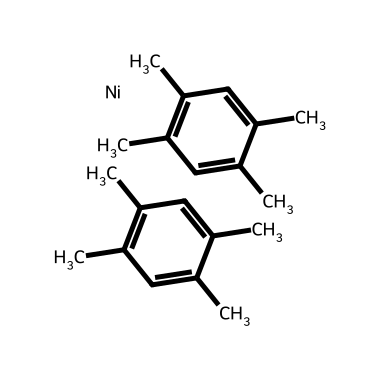 Cc1cc(C)c(C)cc1C.Cc1cc(C)c(C)cc1C.[Ni]